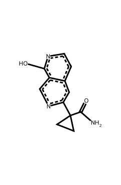 NC(=O)C1(c2cc3ccnc(O)c3cn2)CC1